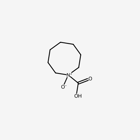 O=C(O)[N+]1([O-])CCCCCCC1